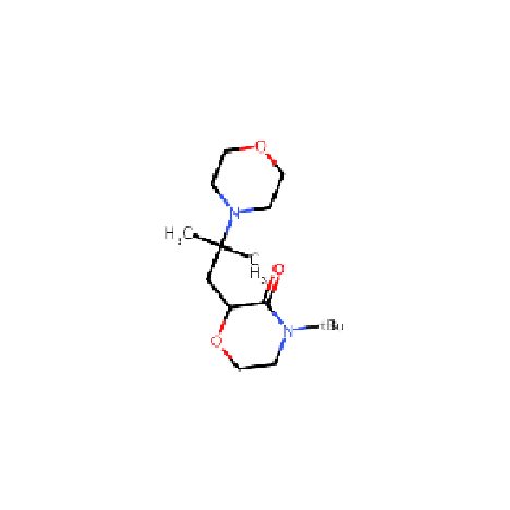 CC(C)(C)N1CCOC(CC(C)(C)N2CCOCC2)C1=O